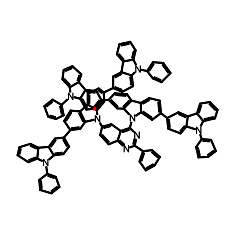 c1ccc(-c2nc(-n3c4cc(-c5ccc6c(c5)c5ccccc5n6-c5ccccc5)ccc4c4ccc(-c5ccc6c(c5)c5ccccc5n6-c5ccccc5)cc43)c3cc(-n4c5cc(-c6ccc7c(c6)c6ccccc6n7-c6ccccc6)ccc5c5ccc(-c6ccc7c(c6)c6ccccc6n7-c6ccccc6)cc54)ccc3n2)cc1